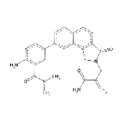 C=C(CN1Cc2c(ccc3ccc(-c4ccc(N)c(C(=O)N(C)C)c4)cc23)C1=O)C(N)=O